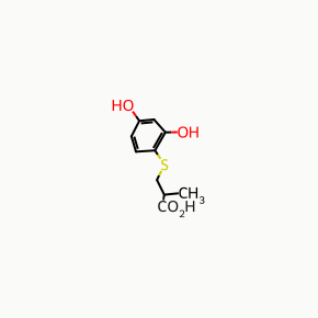 CC(CSc1ccc(O)cc1O)C(=O)O